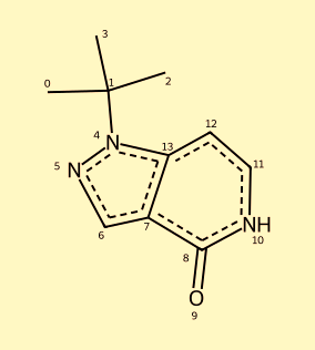 CC(C)(C)n1ncc2c(=O)[nH]ccc21